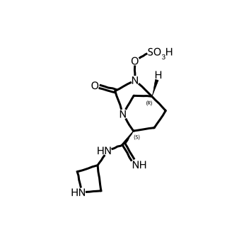 N=C(NC1CNC1)[C@@H]1CC[C@@H]2CN1C(=O)N2OS(=O)(=O)O